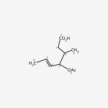 C/C=C/C(OC(C)=O)C(C)CC(=O)O